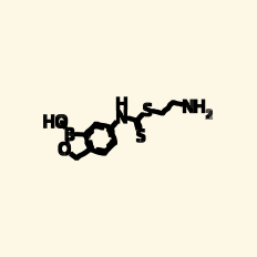 NCCSC(=S)Nc1ccc2c(c1)B(O)OC2